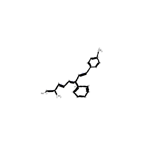 CC(/C=C/C=C(/C=C/c1ccc(C)cc1)c1ccccc1)=C\C#N